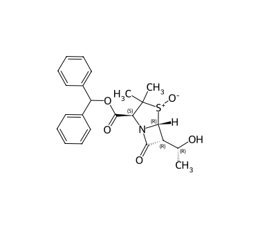 C[C@@H](O)[C@@H]1C(=O)N2[C@@H]1[S+]([O-])C(C)(C)[C@@H]2C(=O)OC(c1ccccc1)c1ccccc1